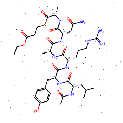 CCOC(=O)CCSC(=O)[C@H](C)NC(=O)[C@H](CC(N)=O)NC(=O)[C@H](C)NC(=O)[C@H](CCCNC(=N)N)NC(=O)[C@H](Cc1ccc(O)cc1)NC(=O)[C@H](CC(C)C)NC(C)=O